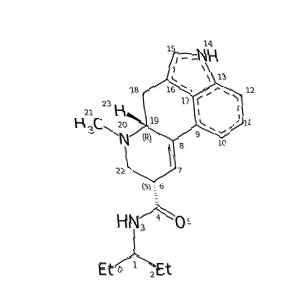 CCC(CC)NC(=O)[C@H]1C=C2c3cccc4[nH]cc(c34)C[C@H]2N(C)C1